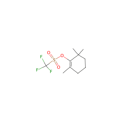 CC1=C(OS(=O)(=O)C(F)(F)F)C(C)(C)CCC1